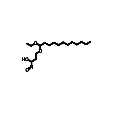 CCCCCCCCCCCC(OCC)OCCC(O)N=O